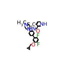 CN1CCN(c2ccc(-c3cc(OCC4CC4)c(F)cc3F)cc2NC(=O)C2=CNCC=C2C(F)(F)F)CC1